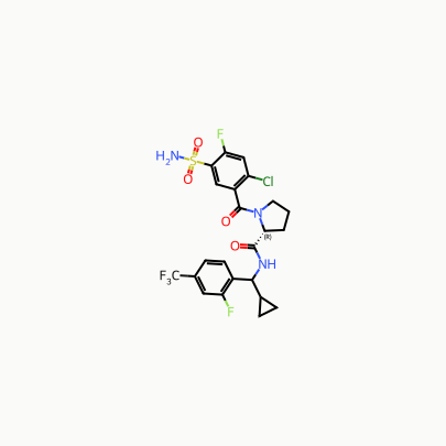 NS(=O)(=O)c1cc(C(=O)N2CCC[C@@H]2C(=O)NC(c2ccc(C(F)(F)F)cc2F)C2CC2)c(Cl)cc1F